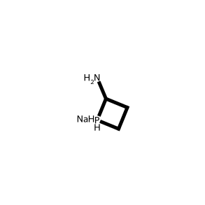 NC1CCP1.[NaH]